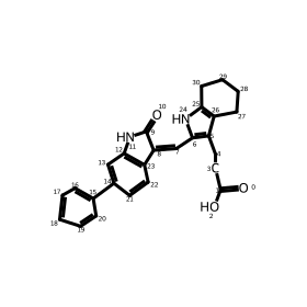 O=C(O)CCc1c(C=C2C(=O)Nc3cc(-c4ccccc4)ccc32)[nH]c2c1CCCC2